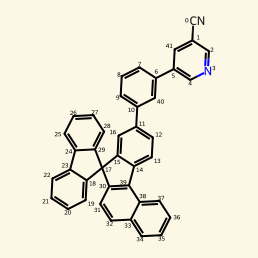 N#Cc1cncc(-c2cccc(-c3ccc4c(c3)C3(c5ccccc5-c5ccccc53)c3ccc5ccccc5c3-4)c2)c1